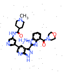 CN1CCC(C(=O)Nc2cncc(-c3cnc4[nH]nc(-c5nc6c(C(=O)N7CCOCC7)cccc6n5N)c4c3)c2)CC1